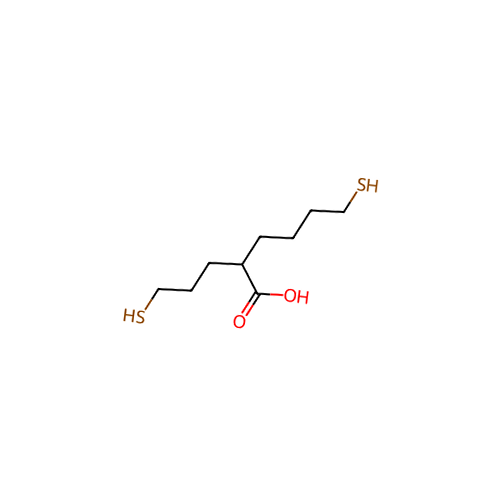 O=C(O)C(CCCS)CCCCS